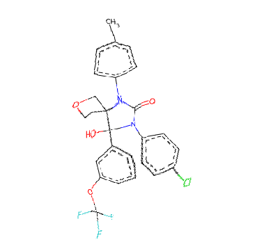 Cc1ccc(N2C(=O)N(c3ccc(Cl)cc3)C(O)(c3cccc(OC(F)(F)F)c3)C23COC3)cc1